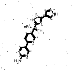 CCCC[C@](C)(c1ccc(-c2cnc(N)nc2)nc1)c1noc(-c2cn[nH]c2)n1